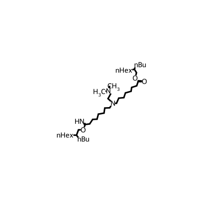 CCCCCCC(CCCC)COC(=N)CCCCCCCN(CCCCCCCC(=O)OCC(CCCC)CCCCCC)CCN(C)C